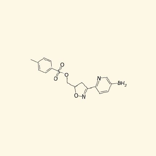 Bc1ccc(C2=NOC(COS(=O)(=O)c3ccc(C)cc3)C2)nc1